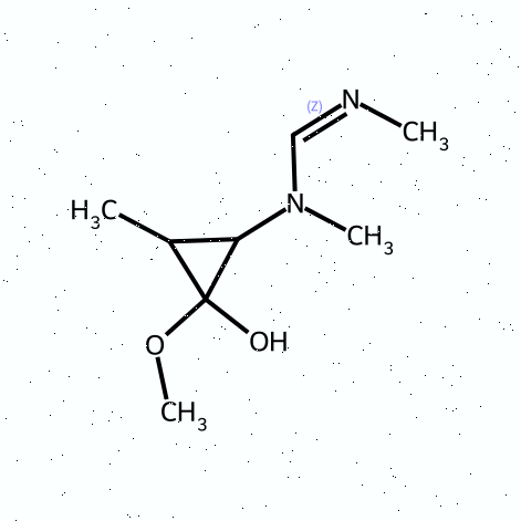 C/N=C\N(C)C1C(C)C1(O)OC